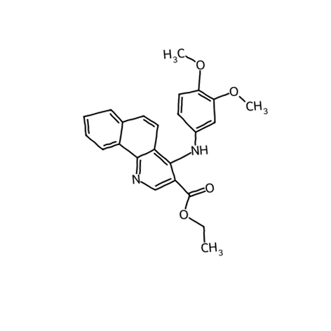 CCOC(=O)c1cnc2c(ccc3ccccc32)c1Nc1ccc(OC)c(OC)c1